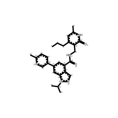 CCCc1cc(C)[nH]c(=O)c1CNC(=O)c1cc(-c2ccc(C)nc2)cc2c1cnn2C(C)C